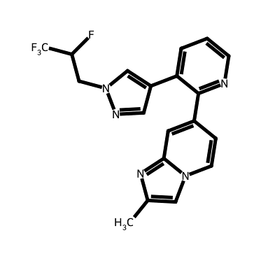 Cc1cn2ccc(-c3ncccc3-c3cnn(CC(F)C(F)(F)F)c3)cc2n1